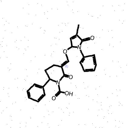 CC1=CC(O/C=C2\CCC(c3ccccc3)N(C(=O)O)C2=O)N(c2ccccc2)C1=O